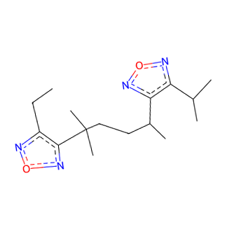 CCc1nonc1C(C)(C)CCC(C)c1nonc1C(C)C